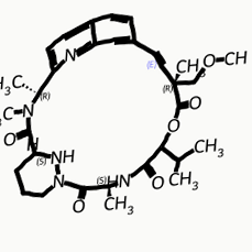 COC[C@@]1(C)/C=C/c2ccc3ccc(nc3c2)[C@@H](C)N(C)C(=O)[C@@H]2CCCN(N2)C(=O)[C@H](C)NC(=O)C(C(C)C)OC1=O